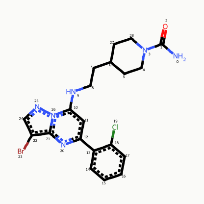 NC(=O)N1CCC(CCNc2cc(-c3ccccc3Cl)nc3c(Br)cnn23)CC1